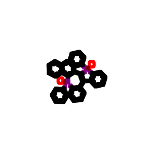 O=P1(c2ccccc2)C2=C(c3ccccc31)c1ccccc1P(=O)(c1ccccc1)c1c2ccc2ccccc12